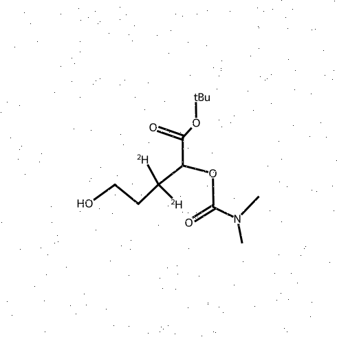 [2H]C([2H])(CCO)C(OC(=O)N(C)C)C(=O)OC(C)(C)C